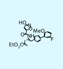 CCOC(=O)[C@H](C)C[C@@H](Cc1ccc(-c2cc(F)ccc2OC)cc1)NC(=O)c1cc(O)no1